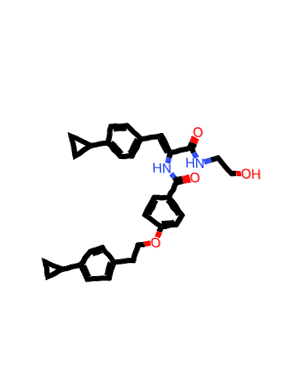 O=C(NCCO)C(=Cc1ccc(C2CC2)cc1)NC(=O)c1ccc(OCCc2ccc(C3CC3)cc2)cc1